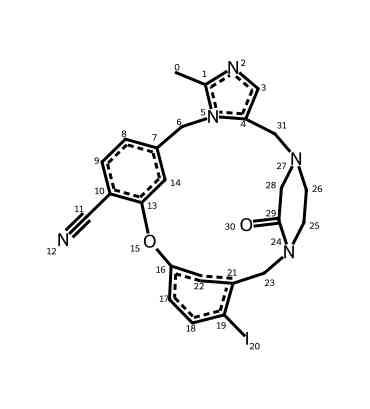 Cc1ncc2n1Cc1ccc(C#N)c(c1)Oc1ccc(I)c(c1)CN1CCN(CC1=O)C2